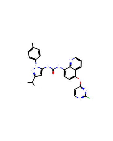 Cc1ccc(-n2nc(C(C)C)cc2NC(=O)Nc2ccc(Oc3ccnc(Cl)n3)c3cccnc23)cc1